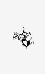 CC[Si](CC)(CC)C1C(=O)NC1c1ccccc1